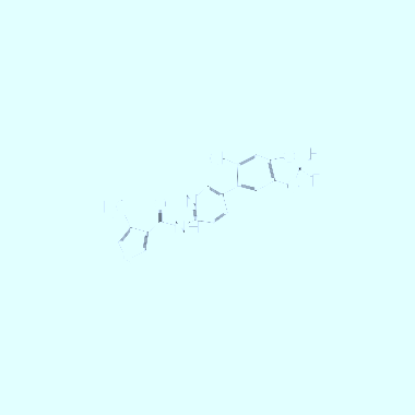 Cc1cscc1C(=O)Nc1ccc(-c2cc3c(cc2Cl)OC(F)(F)O3)cn1